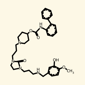 COc1ccc(CNCCCN2CCN(CCCN3CCC(OC(=O)Nc4ccccc4-c4ccccc4)CC3)C2=O)cc1O